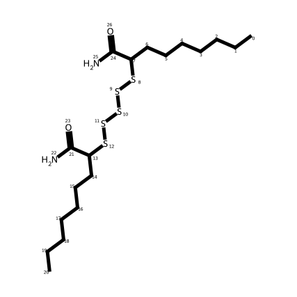 CCCCCCCC(SSSSSC(CCCCCCC)C(N)=O)C(N)=O